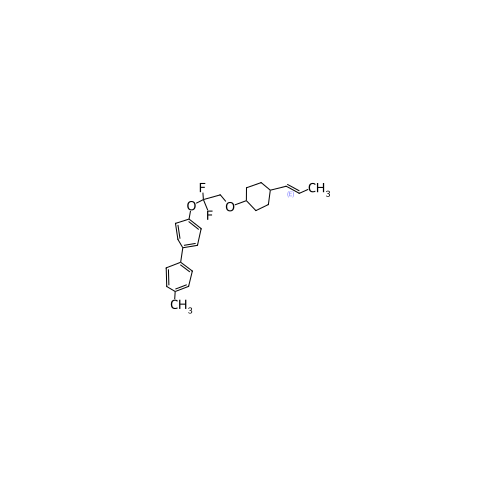 C/C=C/C1CCC(OCC(F)(F)Oc2ccc(-c3ccc(C)cc3)cc2)CC1